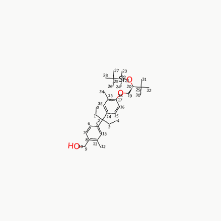 CCC(CC)(c1ccc(CO)c(C)c1)c1ccc(OC[C@@H](O[Si](C)(C)C(C)(C)C)C(C)(C)C)c(C)c1